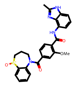 COc1cc(C(=O)N2CCC[S+]([O-])c3ccccc32)ccc1C(=O)Nc1cccc2[nH]c(C)nc12